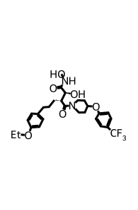 CCOc1ccc(CCC[C@@H](C(=O)N2CCC(Oc3ccc(C(F)(F)F)cc3)CC2)[C@H](O)C(=O)NO)cc1